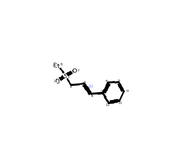 CCS(=O)(=O)C/C=C/c1ccccc1